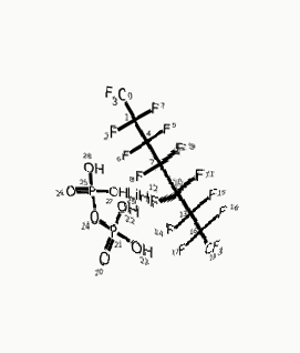 FC(F)(F)C(F)(F)C(F)(F)C(F)(F)C(F)(F)C(F)(F)C(F)(F)C(F)(F)F.O=P(O)(O)OP(=O)(O)O.[LiH]